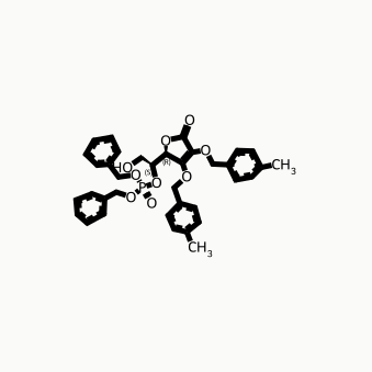 Cc1ccc(COC2=C(OCc3ccc(C)cc3)[C@@H]([C@H](CO)OP(=O)(OCc3ccccc3)OCc3ccccc3)OC2=O)cc1